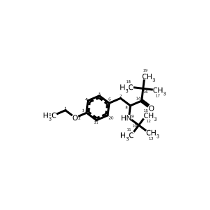 CCOc1ccc(CC(NC(C)(C)C)C(=O)C(C)(C)C)cc1